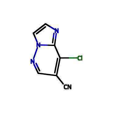 N#Cc1cnn2ccnc2c1Cl